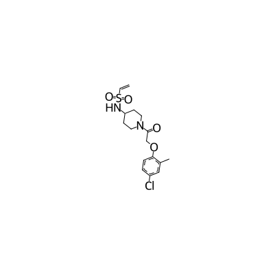 C=CS(=O)(=O)NC1CCN(C(=O)COc2ccc(Cl)cc2C)CC1